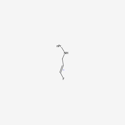 CCCNC/C=C/F